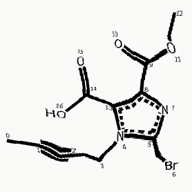 CC#CCn1c(Br)nc(C(=O)OC)c1C(=O)O